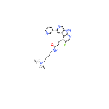 CN(C)CCCCNC(=O)C=Cc1c(F)cnc2[nH]c3cnc(-c4cccnc4)cc3c12